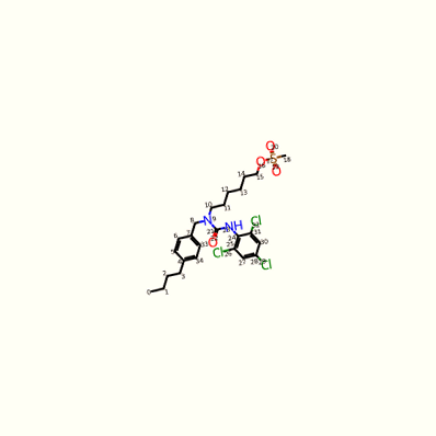 CCCCc1ccc(CN(CCCCCCOS(C)(=O)=O)C(=O)Nc2c(Cl)cc(Cl)cc2Cl)cc1